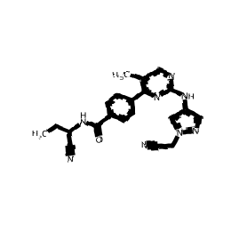 CCC(C#N)NC(=O)c1ccc(-c2nc(Nc3cnn(CC#N)c3)ncc2C)cc1